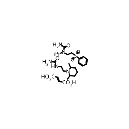 CC(C)N(CCS(=O)(=O)c1ccccc1)C(N)=O.CC1CCCC(C)N1CCNC(N)=O.O=C(O)C=CC(=O)O